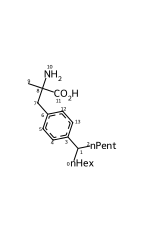 CCCCCCC(CCCCC)c1ccc(CC(C)(N)C(=O)O)cc1